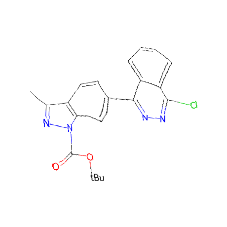 Cc1nn(C(=O)OC(C)(C)C)c2cc(-c3nnc(Cl)c4ccccc34)ccc12